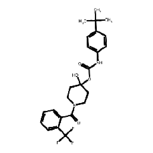 CC(C)(C)c1ccc(NC(=O)OC2(O)CCN(C(=O)c3ccccc3C(F)(F)F)CC2)cc1